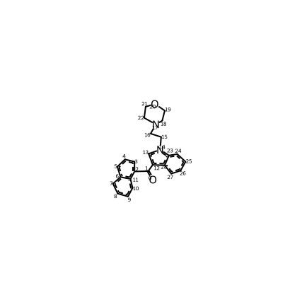 O=C(c1cccc2ccccc12)c1cn(CCN2CCOCC2)c2ccccc12